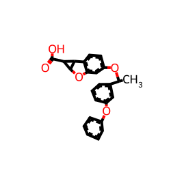 CC(Oc1ccc2c(c1)OC1C(C(=O)O)C21)c1cccc(Oc2ccccc2)c1